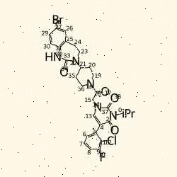 CC(C)n1c(=O)c(-c2cccc(F)c2Cl)cn(CC(=O)N2CCC(N3CCc4cc(Br)ccc4NC3=O)CC2)c1=O